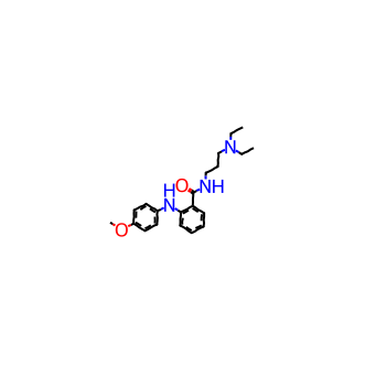 CCN(CC)CCCNC(=O)c1ccccc1Nc1ccc(OC)cc1